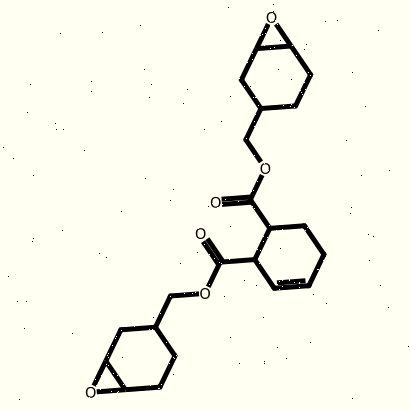 O=C(OCC1CCC2OC2C1)C1C=CCCC1C(=O)OCC1CCC2OC2C1